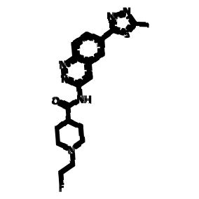 Cc1nnc(-c2ccc3nnc(NC(=O)C4CCN(CCF)CC4)cc3c2)s1